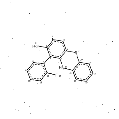 Oc1ncc2c(c1-c1ccccc1F)Nc1ccccc1S2